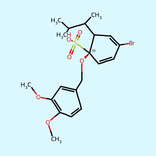 COc1ccc(CO[C@]2(S(=O)(=O)O)C=CC(Br)=CC2C(C)C(C)C)cc1OC